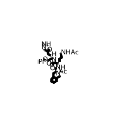 CC(=O)NCCCC[C@H](NC(=O)[C@@H]1Cc2ccccc2CN1C(C)=O)C(=O)N[C@@H](CCC(=O)C=[N+]=N)C(=O)OC(C)C